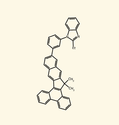 CCc1nc2ccccc2n1-c1cccc(-c2ccc3cc4c(cc3c2)C(C)(C)c2c-4c3ccccc3c3ccccc23)c1